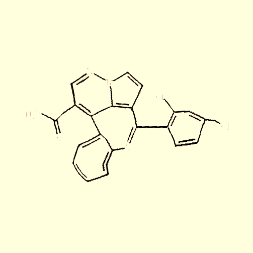 NC(=O)c1cnn2ccc3c2c1-c1ccccc1N=C3c1ccc(Cl)cc1Cl